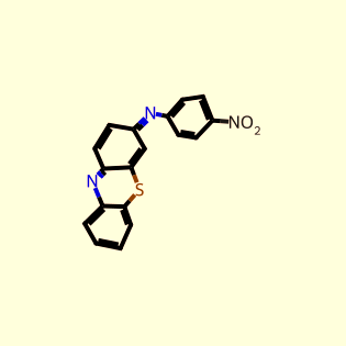 O=[N+]([O-])c1ccc(N=c2ccc3nc4ccccc4sc-3c2)cc1